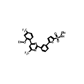 CCOc1cc(C(F)(F)F)ccc1-c1cc(C(F)(F)F)nc(-c2cccc(-c3ccc(S(=O)(=O)NC(C)(C)C)s3)c2)n1